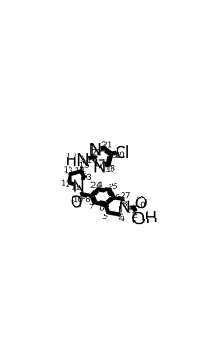 O=C(O)N1CCc2cc(C(=O)N3CC[C@@H](Nc4ncc(Cl)cn4)C3)ccc2C1